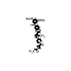 C=CC(=O)N1CC(C(=O)N2CCC(n3ncc(-c4cnc5ccc(Nc6cc(OC)cc(OC)c6)cc5n4)c3C)CC2)C1